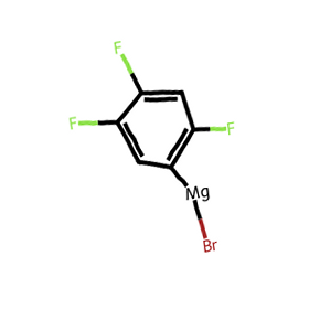 Fc1cc(F)[c]([Mg][Br])cc1F